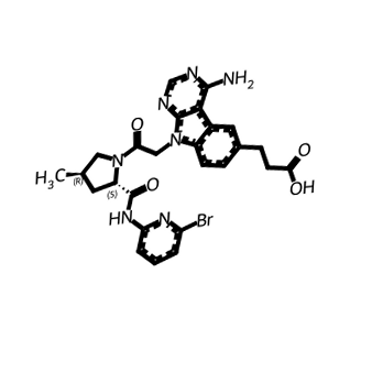 C[C@@H]1C[C@@H](C(=O)Nc2cccc(Br)n2)N(C(=O)Cn2c3ccc(CCC(=O)O)cc3c3c(N)ncnc32)C1